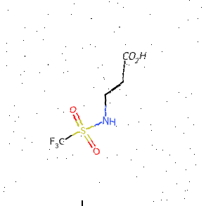 O=C(O)CCNS(=O)(=O)C(F)(F)F